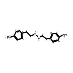 CCCc1ccc(CCOOCCc2ccc(CCC)cc2)cc1